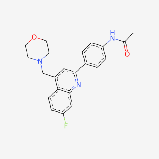 CC(=O)Nc1ccc(-c2cc(CN3CCOCC3)c3ccc(F)cc3n2)cc1